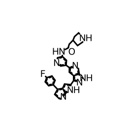 O=C(CC1CCNCC1)Nc1cncc(-c2cc3c(-c4cc5c(-c6ccc(F)cc6)ccnc5[nH]4)n[nH]c3cn2)c1